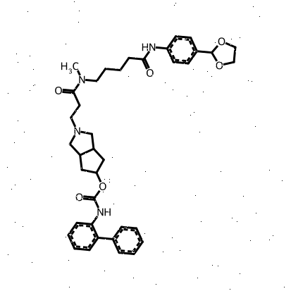 CN(CCCCC(=O)Nc1ccc(C2OCCO2)cc1)C(=O)CCN1CC2CC(OC(=O)Nc3ccccc3-c3ccccc3)CC2C1